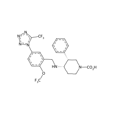 O=C(O)N1CC[C@H](NCc2cc(-n3nnnc3C(F)(F)F)ccc2OC(F)(F)F)[C@H](c2ccccc2)C1